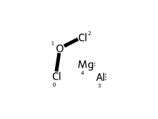 ClOCl.[Al].[Mg]